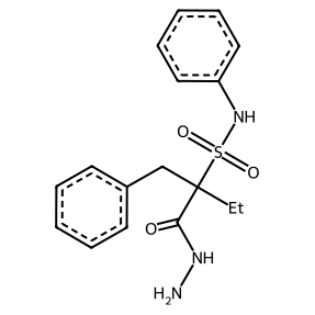 CCC(Cc1ccccc1)(C(=O)NN)S(=O)(=O)Nc1ccccc1